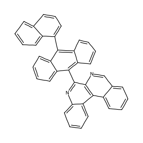 c1ccc2c(-c3c4ccccc4c(-c4nc5ccccc5c5c4ncc4ccccc45)c4ccccc34)cccc2c1